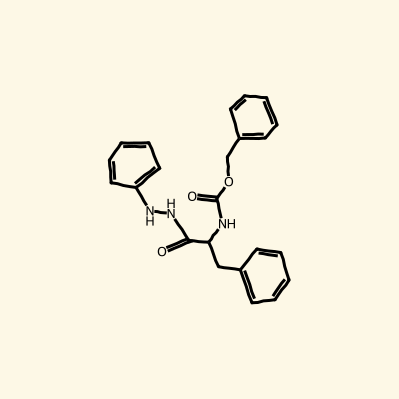 O=C(NC(Cc1ccccc1)C(=O)NNc1ccccc1)OCc1ccccc1